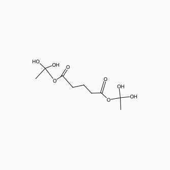 CC(O)(O)OC(=O)CCCC(=O)OC(C)(O)O